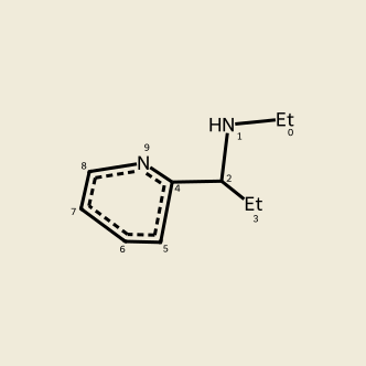 CCNC(CC)c1ccccn1